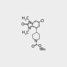 Cn1c(=O)n(C)c2c(C3CCN(C(=O)OC(C)(C)C)CC3)cc(Cl)cc21